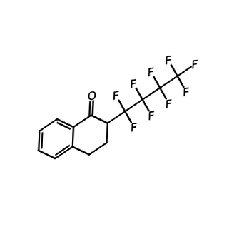 O=C1c2ccccc2CCC1C(F)(F)C(F)(F)C(F)(F)C(F)(F)F